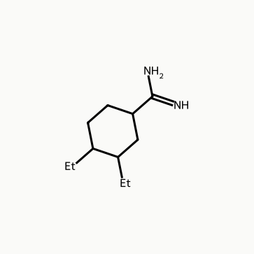 CCC1CCC(C(=N)N)CC1CC